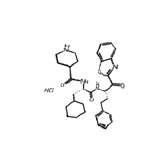 Cl.O=C(N[C@@H](CC1CCCCC1)C(=O)N[C@@H](CCc1ccccc1)C(=O)c1nc2ccccc2o1)C1CCNCC1